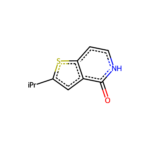 CC(C)c1cc2c(=O)[nH]ccc2s1